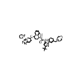 CN1CCC[C@H]1c1nnc2ccc(O[C@@H]3CC[C@H](NC(=O)Nc4cc(C(C)(C)C)nn4-c4cccc(CN5CCOCC5)c4)c4ccccc43)cn12